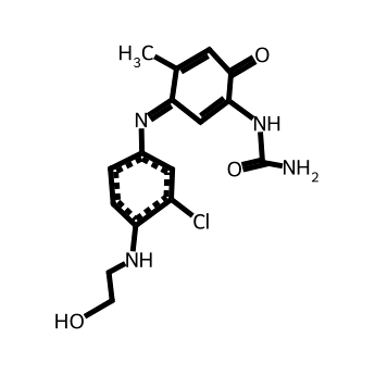 CC1=CC(=O)C(NC(N)=O)=CC1=Nc1ccc(NCCO)c(Cl)c1